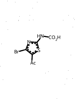 CC(=O)c1sc(NC(=O)O)nc1Br